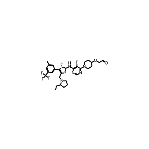 CCC1CCCN1CC1=C(c2cc(C)cc(C(F)(F)F)c2)NC(Nc2ncnc(N3CCC(OCC=O)CC3)c2F)S1